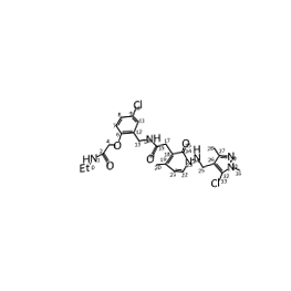 CCNC(=O)COc1ccc(Cl)cc1CNC(=O)Cc1c(C)ccn(NCc2c(C)nn(C)c2Cl)c1=O